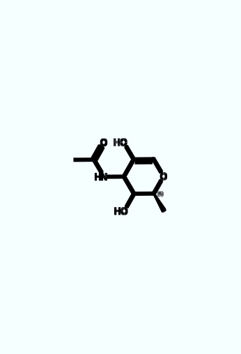 CC(=O)NC1C(O)=CO[C@@H](C)C1O